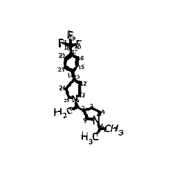 C=C(C1CCN(C(C)C)C1)N1CCC(c2ccc(C(F)(F)F)cc2)CC1